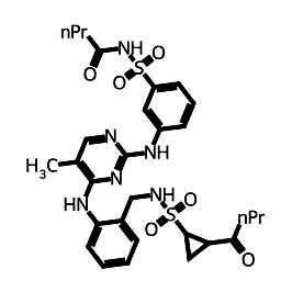 CCCC(=O)NS(=O)(=O)c1cccc(Nc2ncc(C)c(Nc3ccccc3CNS(=O)(=O)C3CC3C(=O)CCC)n2)c1